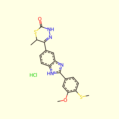 COc1cc(-c2nc3cc(C4=NNC(=O)SC4C)ccc3[nH]2)ccc1SC.Cl